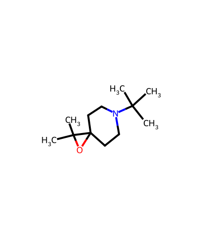 CC(C)(C)N1CCC2(CC1)OC2(C)C